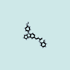 C=C(/C=C/c1ccc2c(c1)C1CCCC1N2c1ccc(OC)cc1)Sc1ccccc1C